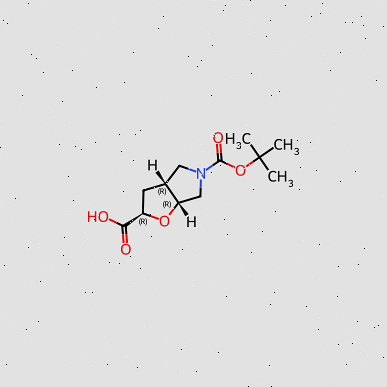 CC(C)(C)OC(=O)N1C[C@H]2C[C@H](C(=O)O)O[C@H]2C1